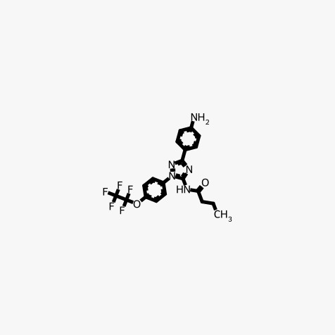 CCCC(=O)Nc1nc(-c2ccc(N)cc2)nn1-c1ccc(OC(F)(F)C(F)(F)F)cc1